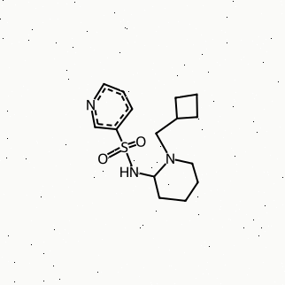 O=S(=O)(NC1CCCCN1CC1CCC1)c1cccnc1